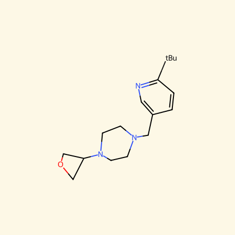 CC(C)(C)c1ccc(CN2CCN(C3COC3)CC2)cn1